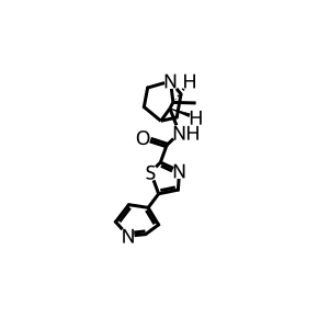 C[C@H]1[C@H](NC(=O)c2ncc(-c3ccncc3)s2)C2CCN1CC2